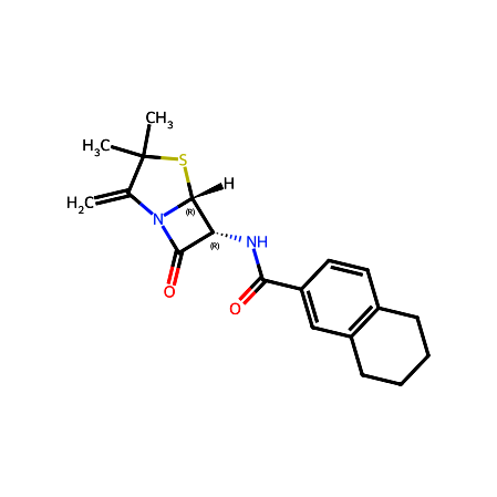 C=C1N2C(=O)[C@@H](NC(=O)c3ccc4c(c3)CCCC4)[C@H]2SC1(C)C